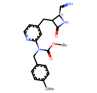 COc1ccc(CN(C(=O)OC(C)(C)C)c2cc(CC3C(=O)N[C@@H]3C=N)ccn2)cc1